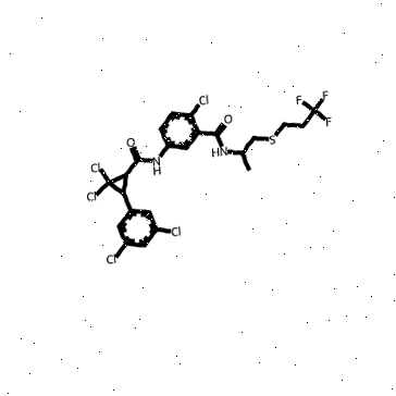 CC(CSCCC(F)(F)F)NC(=O)c1cc(NC(=O)C2C(c3cc(Cl)cc(Cl)c3)C2(Cl)Cl)ccc1Cl